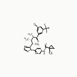 C[C@H](c1ncnn1-c1ccc(NC(=O)C2(Cl)CC2)cn1)[C@H](C)N(C)C(=O)c1cc(Cl)cc(C(F)(F)F)c1